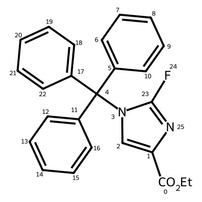 CCOC(=O)c1cn(C(c2ccccc2)(c2ccccc2)c2ccccc2)c(F)n1